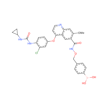 COc1cc2nccc(Oc3ccc(NC(=O)NC4CC4)c(Cl)c3)c2cc1C(=O)NOCc1ccc(B(O)O)cc1